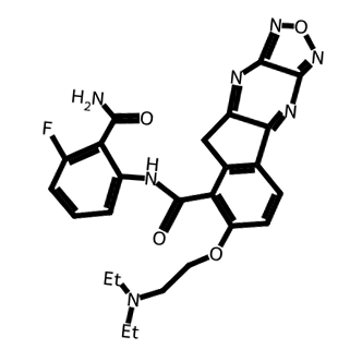 CCN(CC)CCOc1ccc2c(c1C(=O)Nc1cccc(F)c1C(N)=O)Cc1nc3nonc3nc1-2